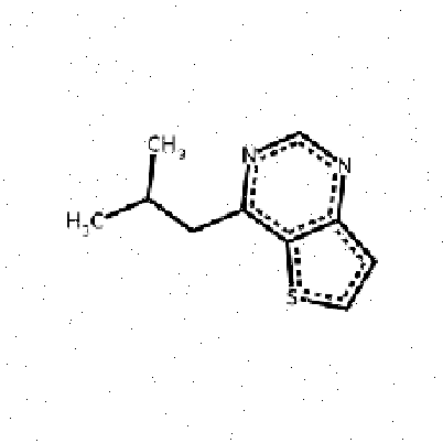 CC(C)Cc1ncnc2ccsc12